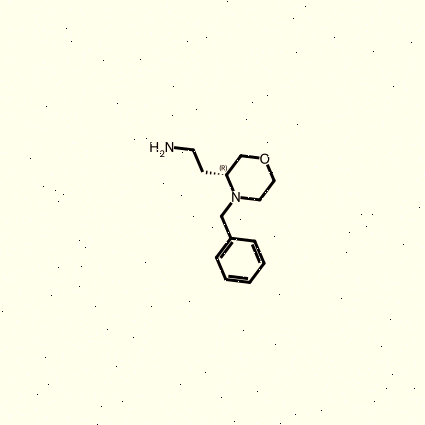 NCC[C@@H]1COCCN1Cc1ccccc1